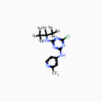 [2H]C([2H])([2H])C([2H])(Nc1nc(Cl)nc(Nc2ccnc(C(F)(F)F)c2)n1)C([2H])([2H])[2H]